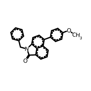 COc1ccc(-c2ccc3c4c(cccc24)C(=O)N3Cc2ccccc2)cc1